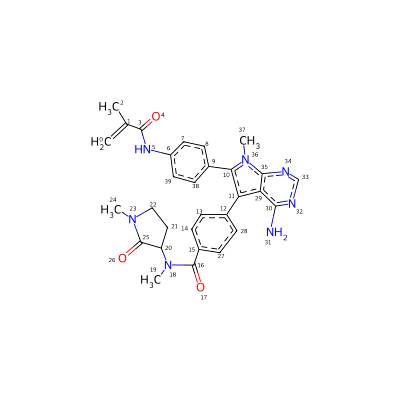 C=C(C)C(=O)Nc1ccc(-c2c(-c3ccc(C(=O)N(C)C4CCN(C)C4=O)cc3)c3c(N)ncnc3n2C)cc1